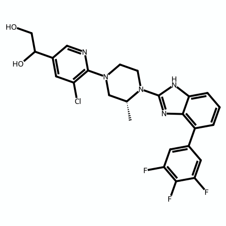 C[C@@H]1CN(c2ncc(C(O)CO)cc2Cl)CCN1c1nc2c(-c3cc(F)c(F)c(F)c3)cccc2[nH]1